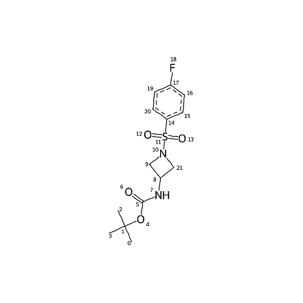 CC(C)(C)OC(=O)NC1CN(S(=O)(=O)c2ccc(F)cc2)C1